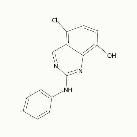 Oc1ccc(Cl)c2cnc(Nc3cc[c]cc3)nc12